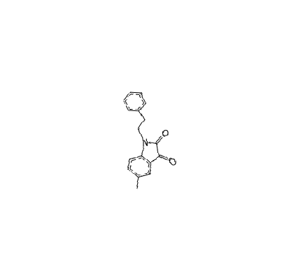 Cc1ccc2c(c1)C(=O)C(=O)N2CCc1ccccc1